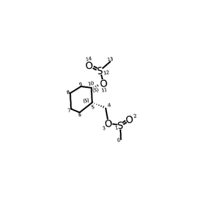 CS(=O)OC[C@@H]1CCCC[C@@H]1OS(C)=O